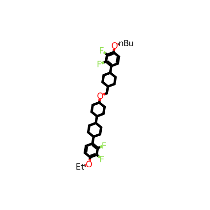 CCCCOc1ccc(C2CCC(COC3CCC(C4CCC(c5ccc(OCC)c(F)c5F)CC4)CC3)CC2)c(F)c1F